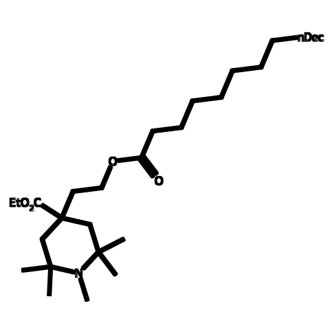 CCCCCCCCCCCCCCCCCC(=O)OCCC1(C(=O)OCC)CC(C)(C)N(C)C(C)(C)C1